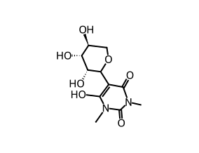 Cn1c(O)c(C2OC[C@H](O)[C@@H](O)[C@H]2O)c(=O)n(C)c1=O